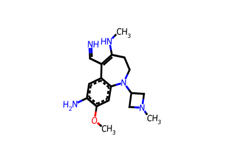 CNC1=C(C=N)c2cc(N)c(OC)cc2N(C2CN(C)C2)CC1